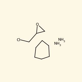 C1CCCCC1.ClCC1CO1.N.N